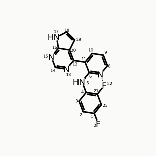 Fc1ccc(Nc2ncccc2-c2ncnc3[nH]ccc23)c(F)c1